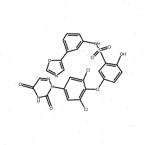 O=c1cnn(-c2cc(Cl)c(Oc3ccc(O)c(S(=O)(=O)Nc4cccc(-c5cnco5)c4)c3)c(Cl)c2)c(=O)[nH]1